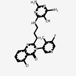 Cc1c(F)cncc1-n1c(CCCNc2nc(N)nc(N)c2C#N)nc2cccc(Cl)c2c1=O